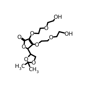 CC1(C)OCC(C2OC(=O)C(OCCOCCO)=C2OCCOCCO)O1